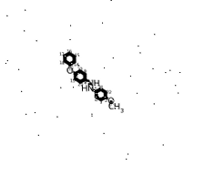 COc1ccc(NNc2ccc(Oc3ccccc3)cc2)cc1